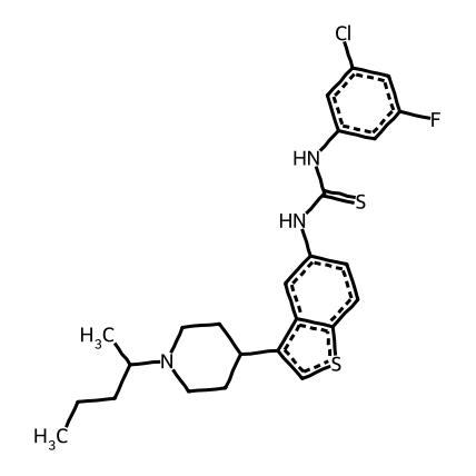 CCCC(C)N1CCC(c2csc3ccc(NC(=S)Nc4cc(F)cc(Cl)c4)cc23)CC1